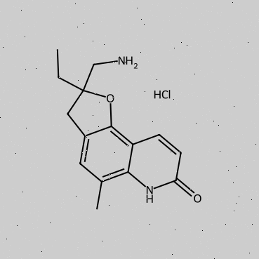 CCC1(CN)Cc2cc(C)c3[nH]c(=O)ccc3c2O1.Cl